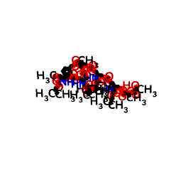 COCC(COC(=O)OCC(COC(=O)OCC(C)(COC(=O)OCC(COC(=O)OCC(COOC(=O)C(C)OC(=O)C(C)O)NC(=O)OCC(C)C)NC(=O)OC(C)(C)C)C(=O)OCc1ccccc1)NC(=O)OC(C)(C)C)NC(=O)OCC(C)C